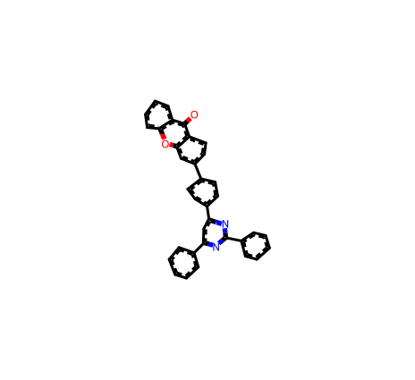 O=c1c2ccccc2oc2cc(-c3ccc(-c4cc(-c5ccccc5)nc(-c5ccccc5)n4)cc3)ccc12